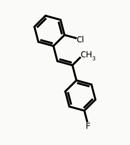 CC(=Cc1ccccc1Cl)c1ccc(F)cc1